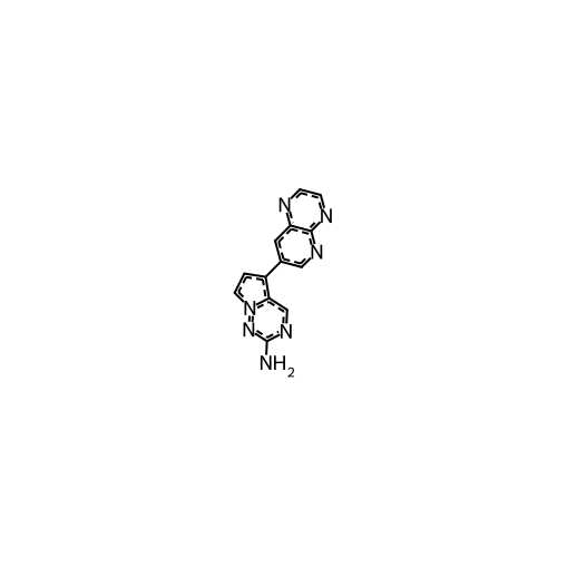 Nc1ncc2c(-c3cnc4nccnc4c3)ccn2n1